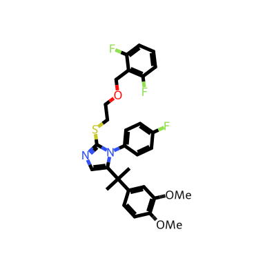 COc1ccc(C(C)(C)c2cnc(SCCOCc3c(F)cccc3F)n2-c2ccc(F)cc2)cc1OC